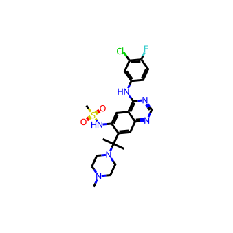 CN1CCN(C(C)(C)c2cc3ncnc(Nc4ccc(F)c(Cl)c4)c3cc2NS(C)(=O)=O)CC1